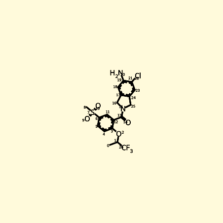 CC(Oc1ccc(S(C)(=O)=O)cc1C(=O)N1Cc2cc(N)c(Cl)cc2C1)C(F)(F)F